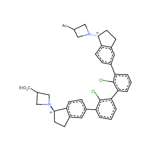 CCOC(=O)C1CN([C@@H]2CCc3cc(-c4cccc(-c5cccc(-c6ccc7c(c6)CC[C@H]7N6CC(C(C)=O)C6)c5Cl)c4Cl)ccc32)C1